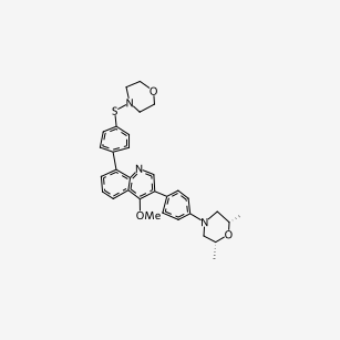 COc1c(-c2ccc(N3C[C@@H](C)O[C@@H](C)C3)cc2)cnc2c(-c3ccc(SN4CCOCC4)cc3)cccc12